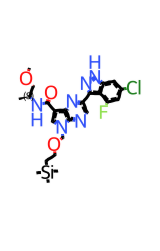 COC[C@H](C)NC(=O)c1cn(COCC[Si](C)(C)C)c2ncc(-c3n[nH]c4cc(Cl)cc(F)c34)nc12